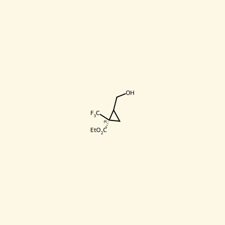 CCOC(=O)[C@@]1(C(F)(F)F)CC1CO